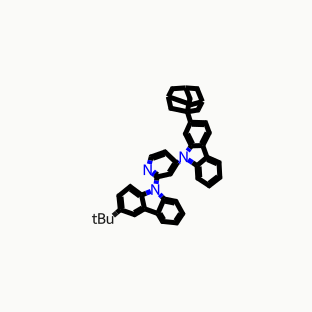 CC(C)(C)c1ccc2c(c1)c1ccccc1n2-c1cc(-n2c3ccccc3c3ccc(C45CC6CC(CC(C6)C4)C5)cc32)ccn1